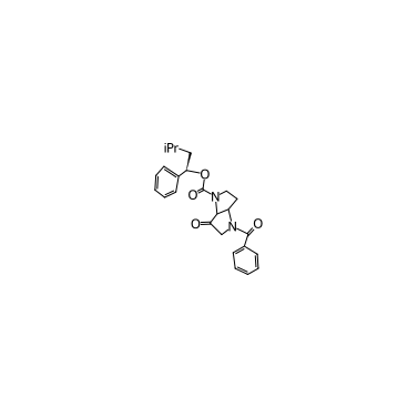 CC(C)C[C@@H](OC(=O)N1CCC2C1C(=O)CN2C(=O)c1ccccc1)c1ccccc1